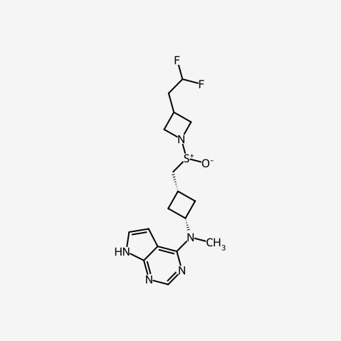 CN(c1ncnc2[nH]ccc12)[C@H]1C[C@@H](C[S+]([O-])N2CC(CC(F)F)C2)C1